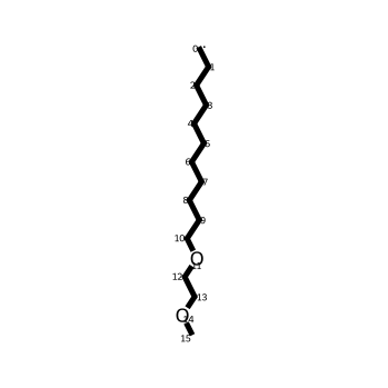 [CH2]CCCCCCCCCCOCCOC